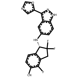 N#Cc1ccc2c(c1F)CC(F)(F)[C@H]2Nc1ccc2[nH]nc(-c3cnco3)c2c1